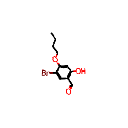 CCCCOc1cc(O)c(C=O)cc1Br